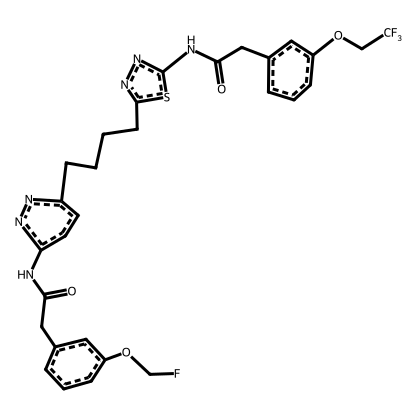 O=C(Cc1cccc(OCF)c1)Nc1ccc(CCCCc2nnc(NC(=O)Cc3cccc(OCC(F)(F)F)c3)s2)nn1